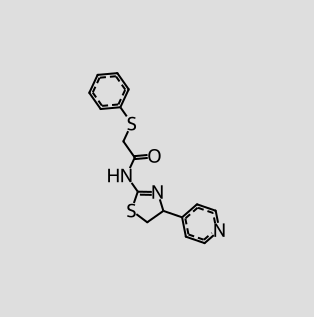 O=C(CSc1ccccc1)NC1=NC(c2ccncc2)CS1